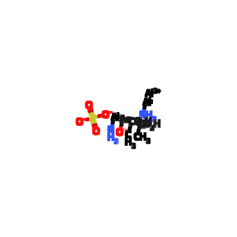 CC(=O)O.CC(=O)O.CC(=O)[O-].O=S(=O)([O-])[O-].[Al+3].[NH2][Al].[NH2][Al]